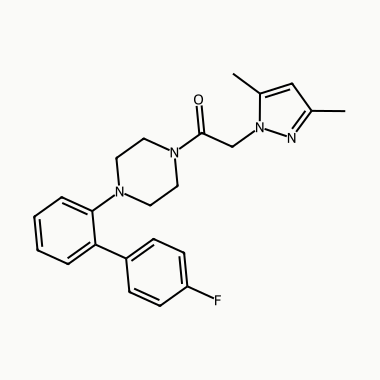 Cc1cc(C)n(CC(=O)N2CCN(c3ccccc3-c3ccc(F)cc3)CC2)n1